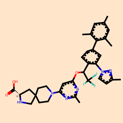 Cc1cc(C)c(-c2ccc(C(Oc3cc(N4CCC5(CC4)CN[C@H](C(=O)O)C5)nc(C)n3)C(F)(F)F)c(-n3ccc(C)n3)c2)c(C)c1